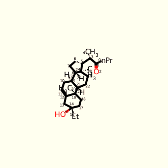 CCCC(=O)[C@@H](C)[C@H]1CC[C@H]2[C@@H]3CC=C4C[C@](O)(CC)CC[C@]4(C)[C@H]3CC[C@]12C